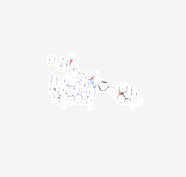 CC(C)C(NC(C)(C)C)C(=O)NC(CCCNC(N)=O)C(=O)Nc1ccc(COC(C)(C)C)cc1